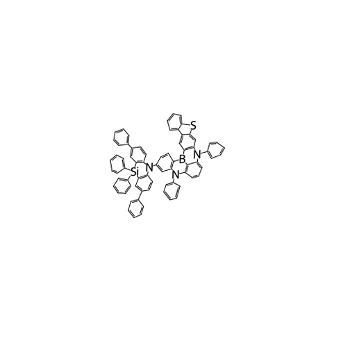 c1ccc(-c2ccc3c(c2)[Si](c2ccccc2)(c2ccccc2)c2cc(-c4ccccc4)ccc2N3c2ccc3c(c2)N(c2ccccc2)c2cccc4c2B3c2cc3c(cc2N4c2ccccc2)sc2ccccc23)cc1